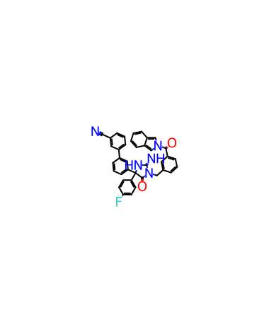 N#Cc1cccc(-c2cccc(C3(c4ccc(F)cc4)NC(=N)N(Cc4cccc(C(=O)n5cc6ccccc6c5)c4)C3=O)c2)c1